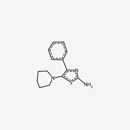 Nc1nc(-c2ccccc2)c(N2CCCCC2)s1